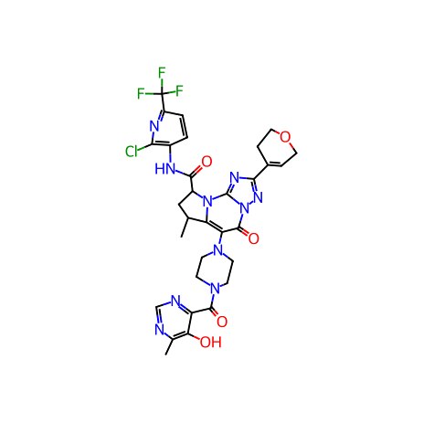 Cc1ncnc(C(=O)N2CCN(c3c4n(c5nc(C6=CCOCC6)nn5c3=O)C(C(=O)Nc3ccc(C(F)(F)F)nc3Cl)CC4C)CC2)c1O